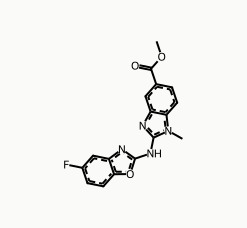 COC(=O)c1ccc2c(c1)nc(Nc1nc3cc(F)ccc3o1)n2C